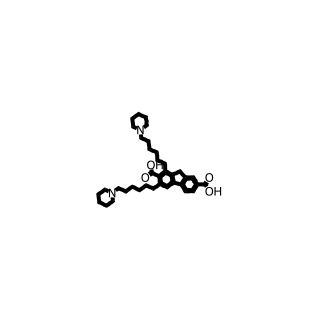 O=C(O)c1ccc2c(c1)Cc1c-2cc(CCCCCCN2CCCCC2)c(C(=O)O)c1CCCCCCN1CCCCC1